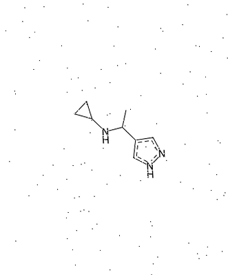 CC(NC1CC1)c1cn[nH]c1